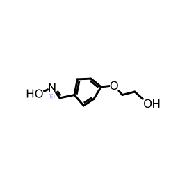 OCCOc1ccc(/C=N/O)cc1